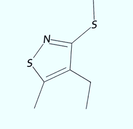 CCc1c(SC)nsc1C